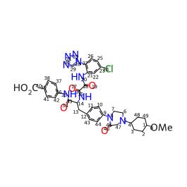 COC1CCC(N2CCN(c3ccc(CC(NC(=O)C(=O)Nc4cc(Cl)ccc4-n4cnnn4)C(=O)Nc4ccc(C(=O)O)cc4)cc3)C(=O)C2)CC1